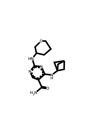 NC(=O)c1cnc(NC2CCCOC2)nc1NC12CC(C1)C2